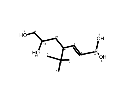 CC(C)(C)C(/C=C/B(O)O)CC(O)CO